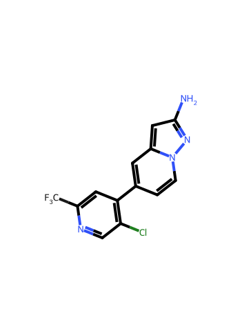 Nc1cc2cc(-c3cc(C(F)(F)F)ncc3Cl)ccn2n1